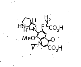 COc1c(N2C[C@@H]3CCCN[C@@H]3C2)c(F)cc2c(=O)c(C(=O)O)cn(C3CC3)c12.NCC(=O)O